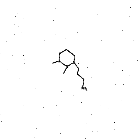 CN1CCCN(CCCN)N1C